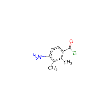 Cc1c(N)ccc(C(=O)Cl)c1C